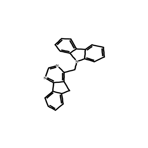 c1ccc2c(c1)Cc1c(Cn3c4ccccc4c4ccccc43)ncnc1-2